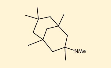 CNC1(C)CC2(C)CC(C)(C)CC(C)(C2)C1